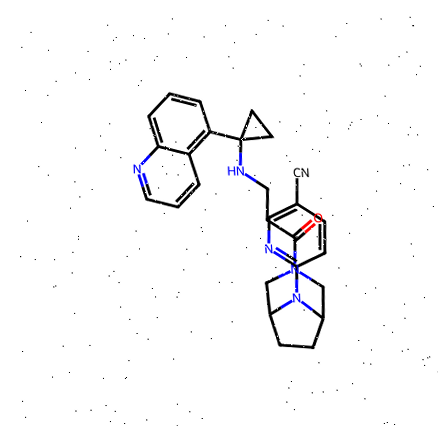 N#Cc1ccc(N2C3CCC2CN(C(=O)CCNC2(c4cccc5ncccc45)CC2)C3)nc1